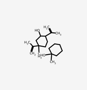 C=C(C)C1CCC(C)(C(=C)C)CC1O.CC1(O)CCCCC1